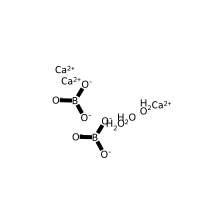 O.O.O.[Ca+2].[Ca+2].[Ca+2].[O-]B([O-])[O-].[O-]B([O-])[O-]